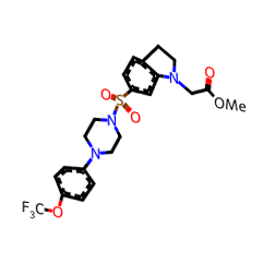 COC(=O)CN1CCc2ccc(S(=O)(=O)N3CCN(c4ccc(OC(F)(F)F)cc4)CC3)cc21